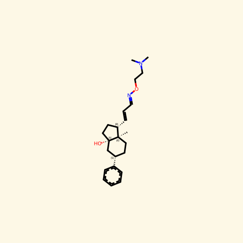 CN(C)CCON=CC=C[C@H]1CC[C@]2(O)C[C@@H](c3ccccc3)CC[C@]12C